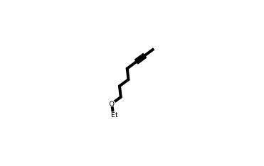 CC#CCCCCOCC